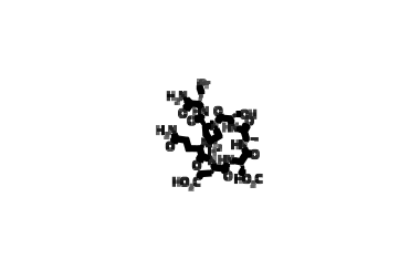 CC(C)C[C@H](NC(=O)[C@@H]1CCCN1C(=O)[C@H](CO)NC(=O)[C@H](C)NC(=O)[C@H](CC(=O)O)NC(=O)[C@H](CCC(=O)O)NC(=O)[C@@H](N)CCC(N)=O)C(N)=O